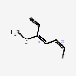 C=C/C(=C\C=C/C)NN